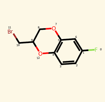 Fc1ccc2c(c1)OCC(CBr)O2